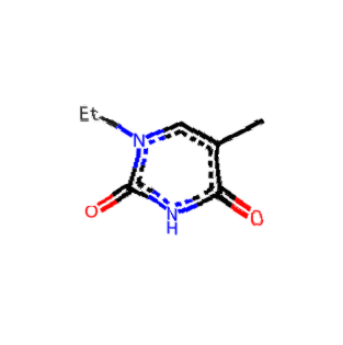 CCn1cc(C)c(=O)[nH]c1=O